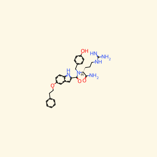 N=C(N)NCCC[C@H](C(N)=O)N(Cc1ccc(O)cc1)C(=O)c1cc2cc(OCCc3ccccc3)ccc2[nH]1